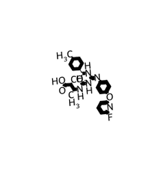 C[C@H](NC(=O)N/C(=N\c1ccc(Oc2cccc(F)n2)cc1)NC[C@H]1CC[C@H](C)CC1)[C@@H](C)C(=O)O